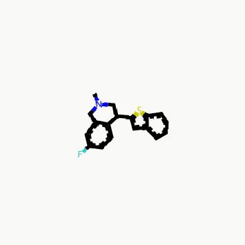 CN1Cc2cc(F)ccc2C(c2cc3ccccc3s2)C1